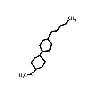 CCCCCC1CCC(C2CCC(OC)CC2)CC1